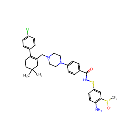 CC1(C)CCC(c2ccc(Cl)cc2)=C(CN2CCN(c3ccc(C(=O)NSc4ccc(N)c([S+]([O-])C(F)(F)F)c4)cc3)CC2)C1